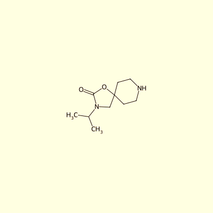 CC(C)N1CC2(CCNCC2)OC1=O